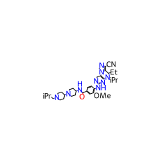 CC[C@@H]1c2c(C#N)ncn2-c2cnc(Nc3ccc(C(=O)NC4CCN(C5CCN(CC(C)C)CC5)CC4)cc3OC)nc2N1C(C)C